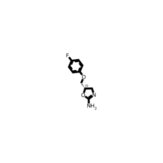 NC1=NC[C@@H](COc2ccc(F)cc2)O1